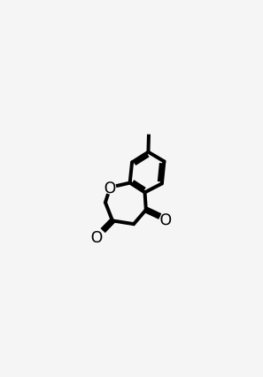 Cc1ccc2c(c1)OCC(=O)CC2=O